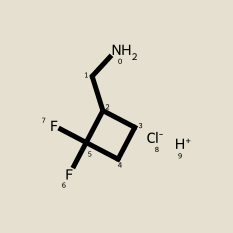 NCC1CCC1(F)F.[Cl-].[H+]